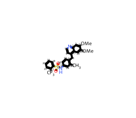 COc1cc2nccc(Cc3ccc(NS(=O)(=O)c4ccccc4C(F)(F)F)cc3C)c2cc1OC